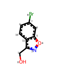 OCc1noc2cc(Br)ccc12